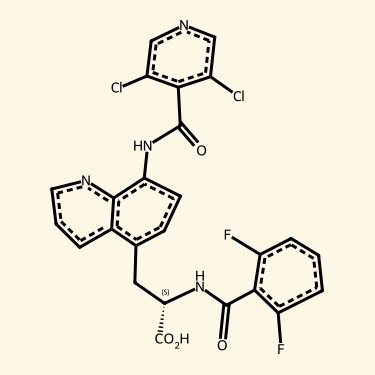 O=C(N[C@@H](Cc1ccc(NC(=O)c2c(Cl)cncc2Cl)c2ncccc12)C(=O)O)c1c(F)cccc1F